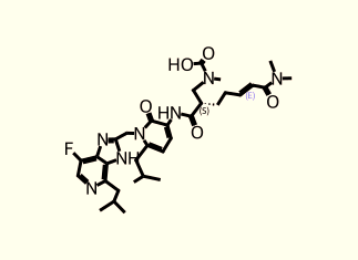 CC(C)Cc1ncc(F)c2nc(Cn3c(CC(C)C)ccc(NC(=O)[C@@H](CC/C=C/C(=O)N(C)C)CN(C)C(=O)O)c3=O)[nH]c12